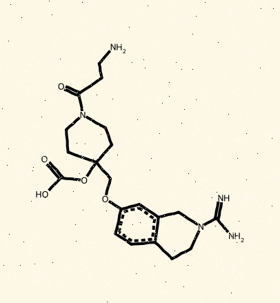 N=C(N)N1CCc2ccc(OCC3(OC(=O)O)CCN(C(=O)CCN)CC3)cc2C1